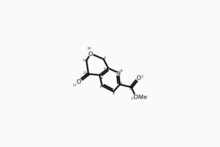 COC(=O)c1ccc2c(n1)COCC2=O